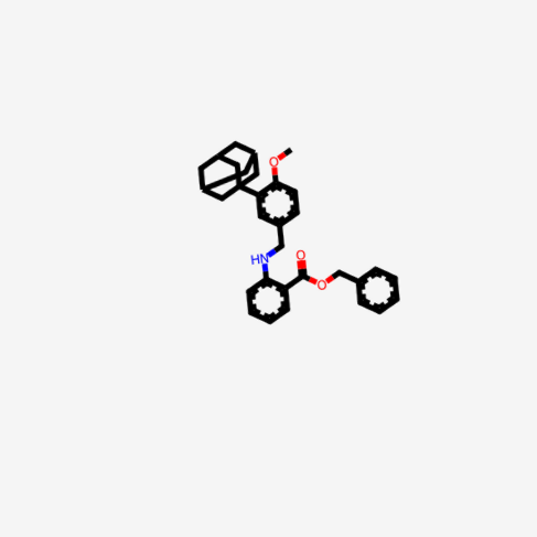 COc1ccc(CNc2ccccc2C(=O)OCc2ccccc2)cc1C12CC3CC(CC(C3)C1)C2